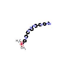 CCOP(=O)(Cc1ccc(-[n+]2ccc(-c3cc[n+](Cc4cccc(C[n+]5ccc(-c6cc[n+](-c7ccc(-n8ccnc8)cc7)cc6)cc5)n4)cc3)cc2)cc1)OCC